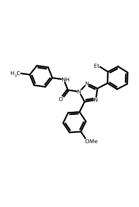 CCc1ccccc1-c1nc(-c2cccc(OC)c2)n(C(=O)Nc2ccc(C)cc2)n1